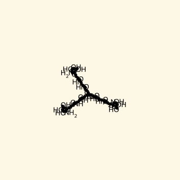 CC(COCCC(=O)NCCCNC(=O)CCCCOC1CC(CO)C(O)C(O)C1N)(COCCC(=O)NCCCNC(=O)CCCCOC1CC(CO)C(O)C(O)C1N)COCCC(=O)NCCCNC(=O)CCCCOC1OC(CO)C(O)C(O)C1N